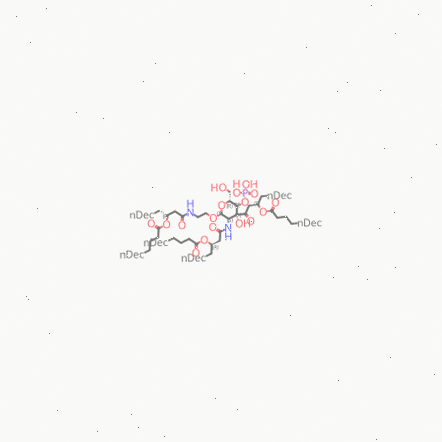 CCCCCCCCCCCCCC(=O)O[C@H](CCCCCCCCCCC)CC(=O)NCCO[C@H]1O[C@H](CO)[C@@H](OP(=O)(O)O)[C@@](O)(C(=O)C[C@@H](CCCCCCCCCCC)OC(=O)CCCCCCCCCCCCC)[C@@H]1NC(=O)C[C@@H](CCCCCCCCCCC)OC(=O)CCCCCCCCCCCCC